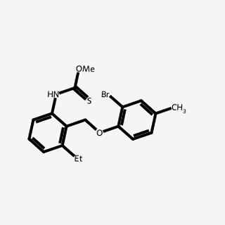 CCc1cccc(NC(=S)OC)c1COc1ccc(C)cc1Br